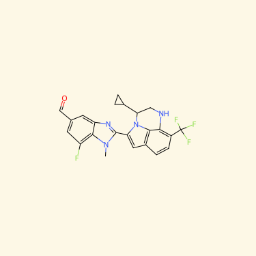 Cn1c(-c2cc3ccc(C(F)(F)F)c4c3n2C(C2CC2)CN4)nc2cc(C=O)cc(F)c21